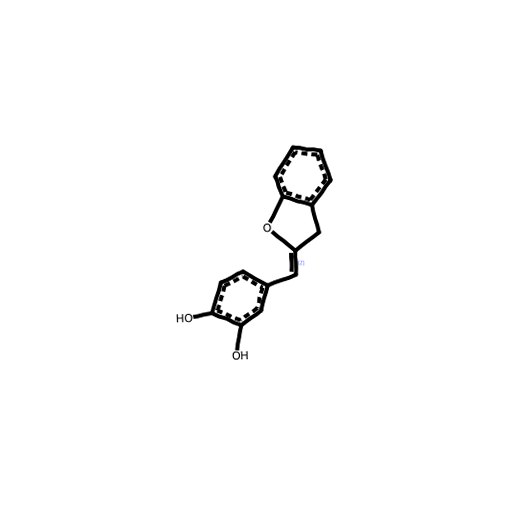 Oc1ccc(/C=C2/Cc3ccccc3O2)cc1O